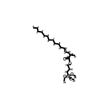 CCCCCCCCCCCCSCC(C)C(=O)OCCC[Si](OC)(OC)OC